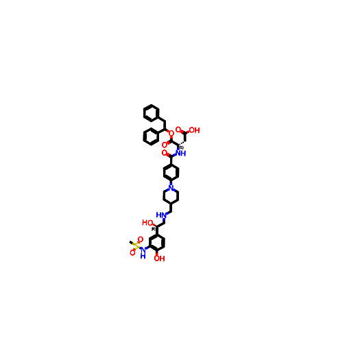 CS(=O)(=O)Nc1cc([C@@H](O)CNCC2CCN(c3ccc(C(=O)N[C@@H](CC(=O)O)C(=O)OC(Cc4ccccc4)c4ccccc4)cc3)CC2)ccc1O